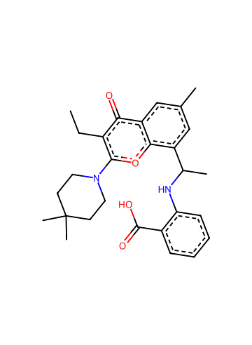 CCc1c(N2CCC(C)(C)CC2)oc2c(C(C)Nc3ccccc3C(=O)O)cc(C)cc2c1=O